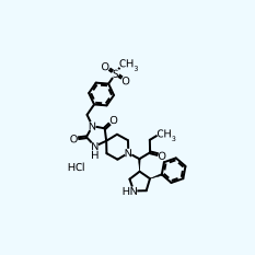 CCC(=O)C([C@@H]1CNC[C@@H]1c1ccccc1)N1CCC2(CC1)NC(=O)N(Cc1ccc(S(C)(=O)=O)cc1)C2=O.Cl